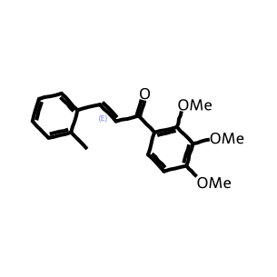 COc1ccc(C(=O)/C=C/c2ccccc2C)c(OC)c1OC